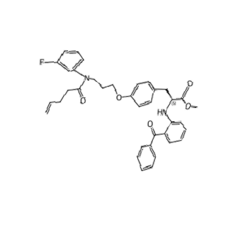 C=CCCC(=O)N(CCCOc1ccc(C[C@H](Nc2ccccc2C(=O)c2ccccc2)C(=O)OC)cc1)c1cccc(F)c1